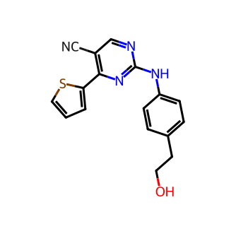 N#Cc1cnc(Nc2ccc(CCO)cc2)nc1-c1cccs1